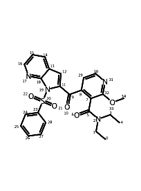 CCN(CC)C(=O)c1c(C(=O)c2cc3cccnc3n2S(=O)(=O)c2ccccc2)ccnc1OC